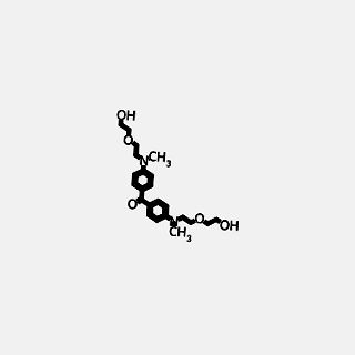 CN(CCOCCO)c1ccc(C(=O)c2ccc(N(C)CCOCCO)cc2)cc1